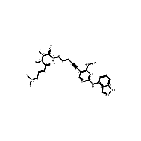 CCCNc1nc(Nc2cccc3[nH]ncc23)ncc1C#CCCCNC(=O)[C@H](C)N(C)C(=O)/C=C/CN(C)C